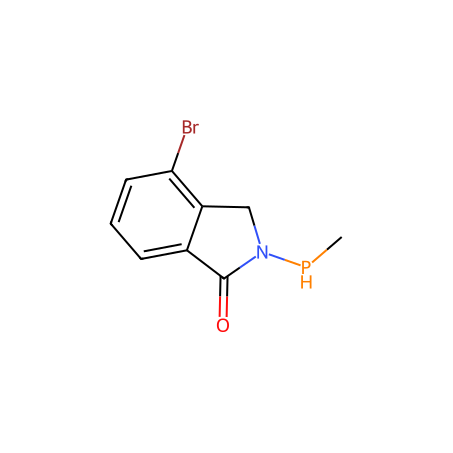 CPN1Cc2c(Br)cccc2C1=O